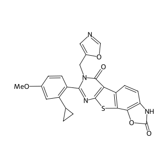 COc1ccc(-c2nc3sc4c(ccc5[nH]c(=O)oc54)c3c(=O)n2Cc2cnco2)c(C2CC2)c1